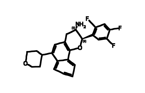 N[C@H]1Cc2cc(C3CCOCC3)c3ccccc3c2O[C@@H]1c1cc(F)c(F)cc1F